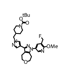 COc1ncc(-n2nc(-c3cnn(CC4CCN(C(=O)OC(C)(C)C)CC4)c3)c3c2CCOCC3)cc1CF